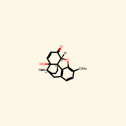 COc1ccc2c3c1O[C@H]1C(=O)C=CC4(O)[C@H](CCC[C@]314)C2